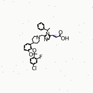 CC(c1ccccc1)n1c(/C=C/C(=O)O)cnc1CN1CCC(c2cccc3c2OC(C)(c2ccc(Cl)cc2F)O3)CC1